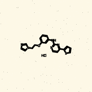 Cl.c1cc(Nc2nccc(-c3cccs3)n2)cc(OCCn2ccnc2)c1